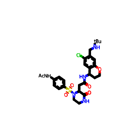 CC(=O)Nc1ccc(S(=O)(=O)N2CCNC(=O)C2CC(=O)NC2CCOc3cc(CNC(C)(C)C)c(Cl)cc32)cc1